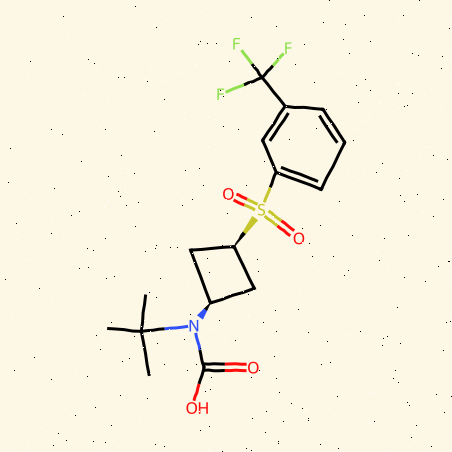 CC(C)(C)N(C(=O)O)[C@H]1C[C@@H](S(=O)(=O)c2cccc(C(F)(F)F)c2)C1